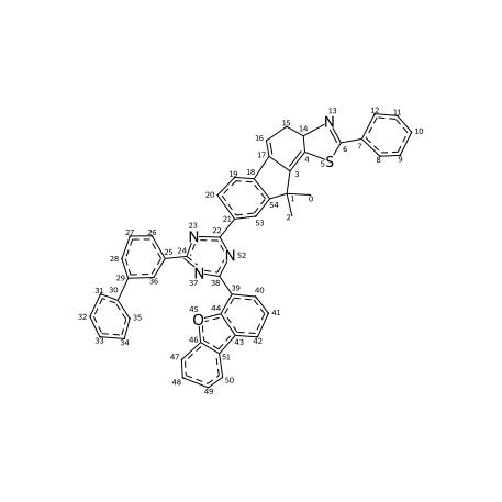 CC1(C)C2=C3SC(c4ccccc4)=NC3CC=C2c2ccc(-c3nc(-c4cccc(-c5ccccc5)c4)nc(-c4cccc5c4oc4ccccc45)n3)cc21